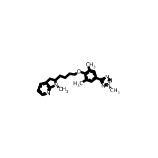 Cc1cc(-c2nnn(C)n2)cc(C)c1OCCCCC1Cc2cccnc2N1C